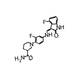 NC(=O)C1CCCN(c2ccc(NC=C3C(=O)Nc4cccc(F)c43)cc2F)C1